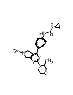 CC(C)N1Cc2nc(N3CCOCC3C)nc(-c3ccc(NC(=O)NC4CC4)cc3)c2C1